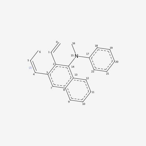 C=Cc1c(/C=C\C)cc2ccccc2c1N(C)c1ccccc1